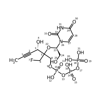 CC#C[C@H](O)C(CF)(COP(=O)(O)OP(=O)(O)OP(=O)(O)O)O[C@H](CO)n1ccc(=O)[nH]c1=O